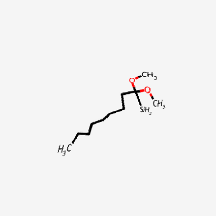 CCCCCCCCC([SiH3])(OC)OC